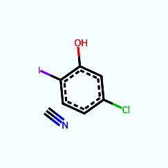 C#N.Oc1cc(Cl)ccc1I